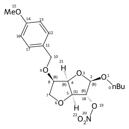 CCCCO[C@@H]1O[C@H]2[C@H](OC[C@H]2OCc2ccc(OC)cc2)[C@H]1O[N+](=O)[O-]